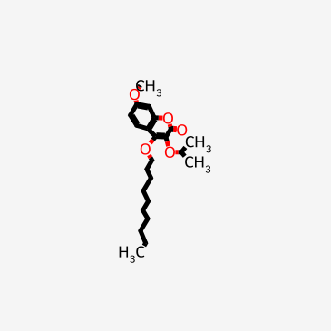 CCCCCCCCCCOc1c(OC(C)C)c(=O)oc2cc(OC)ccc12